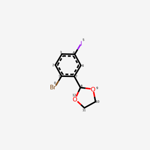 Brc1ccc(I)cc1C1OCCO1